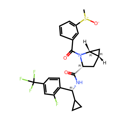 C[S+]([O-])c1cccc(C(=O)N2[C@@H](C(=O)N[C@@H](c3ccc(C(F)(F)F)cc3F)C3CC3)C[C@H]3C[C@H]32)c1